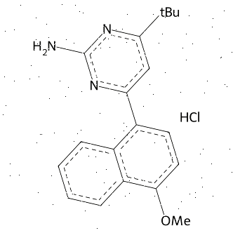 COc1ccc(-c2cc(C(C)(C)C)nc(N)n2)c2ccccc12.Cl